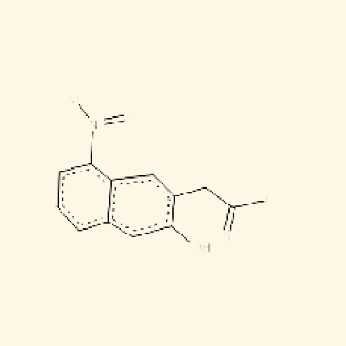 CC(=O)Cc1cc2c([N+](=O)[O-])cccc2cc1O